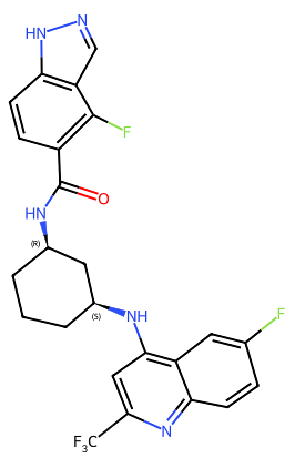 O=C(N[C@@H]1CCC[C@H](Nc2cc(C(F)(F)F)nc3ccc(F)cc23)C1)c1ccc2[nH]ncc2c1F